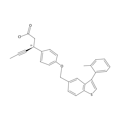 CC#C[C@@H](CC(=O)Cl)c1ccc(OCc2ccc3scc(-c4ccccc4C)c3c2)cc1